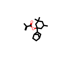 C=C(C)C(=O)OC1(C2CC3CCC2C3)CC(C)CC(C)(C)C1